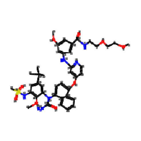 COCCOCCNC(=O)c1cc(Nc2cc(Oc3ccc(N(C(N)=O)c4cc(C(C)(C)C)cc(NS(C)(=O)=O)c4OC)c4ccccc34)ccn2)cc(OC)c1